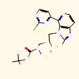 CO[C@@H](CN(C)C(=O)OC(C)(C)C)Cn1c(C)nc2ccnc(-c3ccnc(Cl)n3)c21